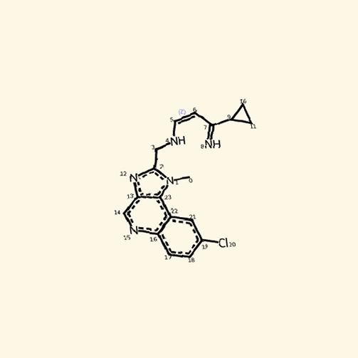 Cn1c(CN/C=C\C(=N)C2CC2)nc2cnc3ccc(Cl)cc3c21